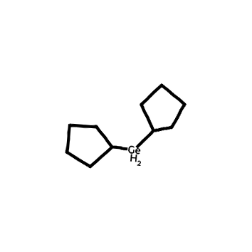 C1CC[CH]([GeH2][CH]2CCCC2)C1